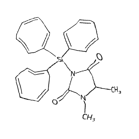 CC1C(=O)N([Si](c2ccccc2)(c2ccccc2)c2ccccc2)C(=O)N1C